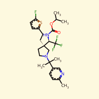 Cc1ccc(C(C)(C)N2CC[C@@](CCc3ccc(F)s3)([C@@H](NC(=O)OC(C)C)C(F)(F)F)C2)cn1